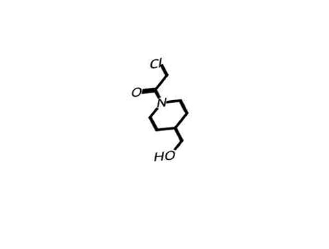 O=C(CCl)N1CCC(CO)CC1